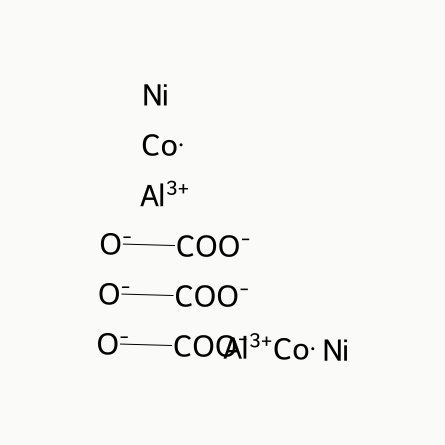 O=C([O-])[O-].O=C([O-])[O-].O=C([O-])[O-].[Al+3].[Al+3].[Co].[Co].[Ni].[Ni]